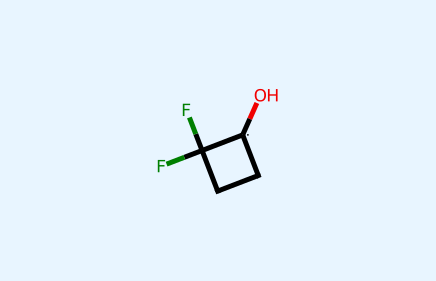 O[C]1CCC1(F)F